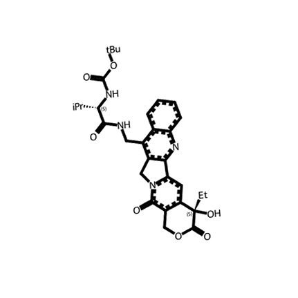 CC[C@@]1(O)C(=O)OCc2c1cc1n(c2=O)Cc2c-1nc1ccccc1c2CNC(=O)[C@@H](NC(=O)OC(C)(C)C)C(C)C